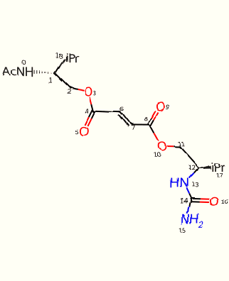 CC(=O)N[C@@H](COC(=O)/C=C/C(=O)OC[C@H](NC(N)=O)C(C)C)C(C)C